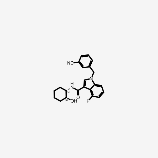 N#Cc1cccc(Cn2cc(C(=O)N[C@H]3CCCC[C@@H]3O)c3c(F)cccc32)c1